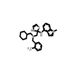 Cn1ccc2c(NC3(CN(Cc4ccccc4C(F)(F)F)CC4CCCCC4)NC=CS3)cccc21